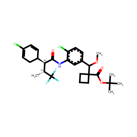 COC(c1ccc(Cl)c(NC(=O)[C@H](C2C=CC(Cl)=CC2)[C@@H](C)C(F)(F)F)c1)C1(C(=O)OC(C)(C)C)CCC1